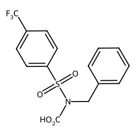 O=C(O)N(Cc1ccccc1)S(=O)(=O)c1ccc(C(F)(F)F)cc1